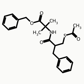 CC(=O)SCC(Cc1ccccc1)C(=O)NC(C)(C)C(=O)OCc1ccccc1